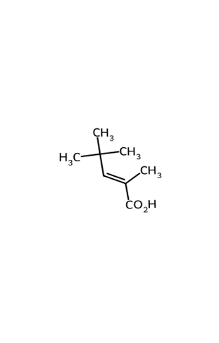 CC(=CC(C)(C)C)C(=O)O